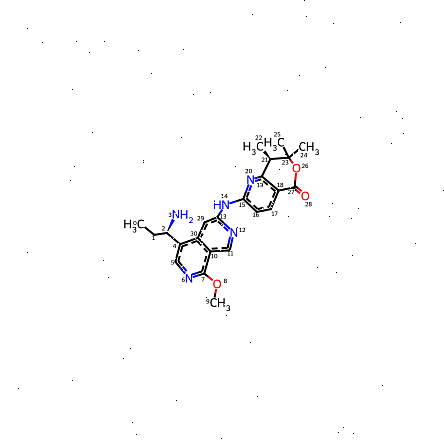 CC[C@@H](N)c1cnc(OC)c2cnc(Nc3ccc4c(n3)[C@@H](C)C(C)(C)OC4=O)cc12